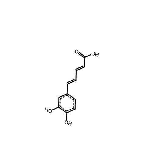 O=C(O)/C=C/C=C/c1ccc(O)c(O)c1